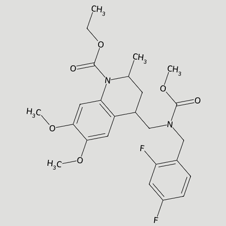 CCOC(=O)N1c2cc(OC)c(OC)cc2C(CN(Cc2ccc(F)cc2F)C(=O)OC)CC1C